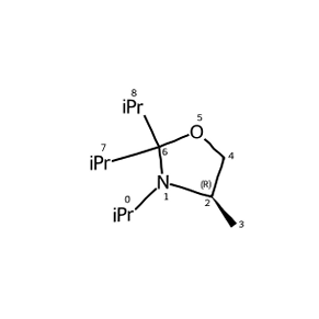 CC(C)N1[C@H](C)COC1(C(C)C)C(C)C